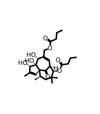 CCCC(=O)OCC1=C[C@@H]2C(=O)[C@]3(C=C(C)[C@H](O)[C@@]3(O)[C@@H]1O)[C@H](C)CC(C)(C)[C@@H]2OC(=O)CCC